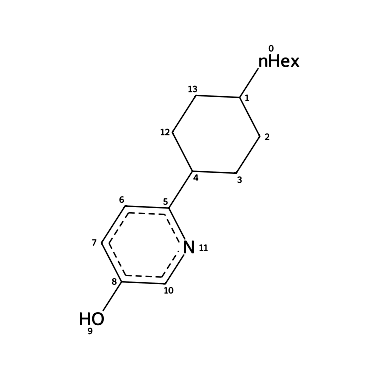 CCCCCCC1CCC(c2ccc(O)cn2)CC1